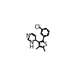 Cc1sc(-c2cccc(Cl)c2)c(C2C=CN=CN2)c1C